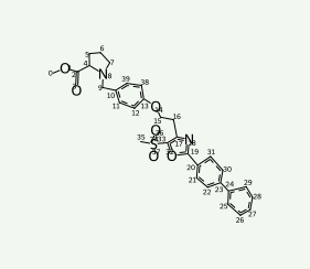 COC(=O)C1CCCN1Cc1ccc(OCCc2nc(-c3ccc(-c4ccccc4)cc3)oc2S(C)(=O)=O)cc1